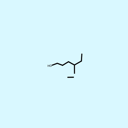 CC.CCC(C)CCCO